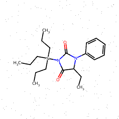 CCC[Si](CCC)(CCC)N1C(=O)C(CC)N(c2ccccc2)C1=O